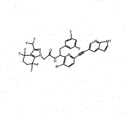 O=C(Cn1nc(C(F)F)c2c1C(F)(F)CCC2(F)F)NC(Cc1cc(F)cc(F)c1)c1nc(C#Cc2cnc3[nH]ccc3c2)ccc1Br